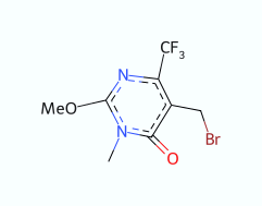 COc1nc(C(F)(F)F)c(CBr)c(=O)n1C